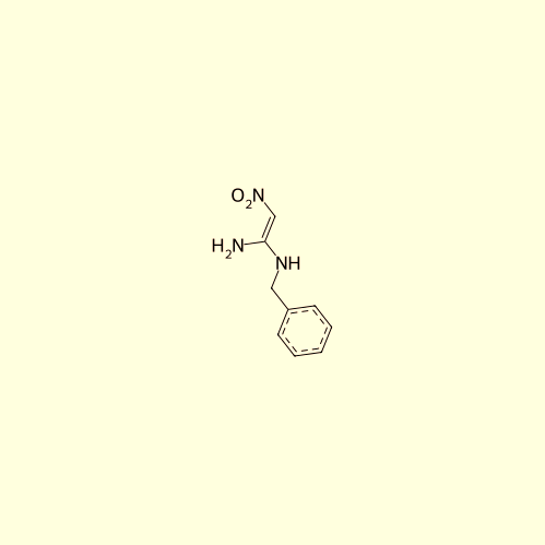 N/C(=C\[N+](=O)[O-])NCc1ccccc1